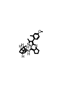 COc1ccc(-c2c(C)nn3c(N[C@H]4C[C@H]5C[C@@H]([C@@H]4C)C5(C)C)c4c(nc23)CCC4)c(C)c1